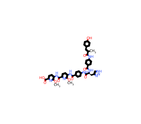 COc1nc(C(=O)Nc2ccc(C(=O)O)nc2OC)ccc1NC(=O)c1ccc(NC(=O)[C@H](Cc2c[nH]nn2)NC(=O)c2ccc(NC(=O)/C(C)=C/c3ccc(O)cc3)cc2)cc1